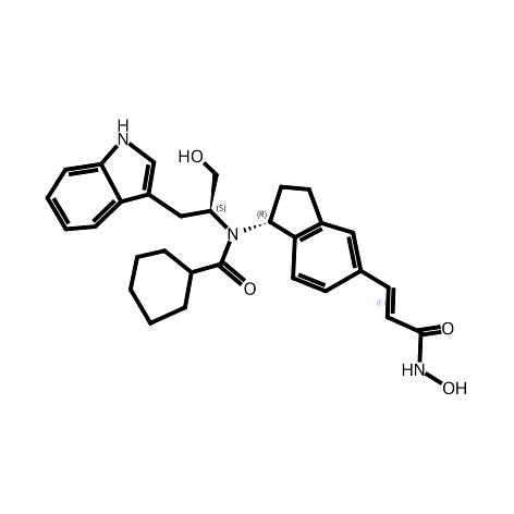 O=C(/C=C/c1ccc2c(c1)CC[C@H]2N(C(=O)C1CCCCC1)[C@H](CO)Cc1c[nH]c2ccccc12)NO